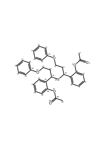 CC(=O)Oc1ccccc1C(CCOc1ccccc1)SC(CCOc1ccccc1)c1ccccc1OC(C)=O